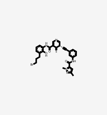 Cc1cc(C(=O)Nc2cccc(C#C[C@H]3C=NC=C(C(=O)Nc4cccc(CCCBr)c4O)C3=S)c2)n(C)n1